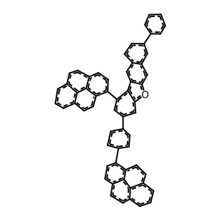 c1ccc(-c2ccc3cc4c(cc3c2)oc2cc(-c3ccc(-c5ccc6ccc7cccc8ccc5c6c78)cc3)cc(-c3ccc5ccc6cccc7ccc3c5c67)c24)cc1